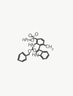 CCCOS(=O)(=O)c1ccc(C)c(-c2c[nH]c3ccccc23)c1NC(=O)OCc1ccccc1